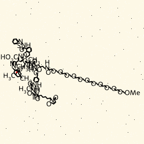 COCCOCCOCCOCCOCCOCCOCCOCCOCCOCCOCCOCC(=O)NCCCC[C@@H](NC(=O)OCc1ccc(NC(=O)[C@H](C)NC(=O)[C@@H](NC(=O)CCCCCN2C(=O)C=CC2=O)C(C)C)cc1)C(=O)N[C@H](C)C(=O)NCCOC12CC3(C)CC(C)(CC(Cn4ncc(-c5ccc(N6CCc7cccc(C(=O)Nc8nc9ccccc9s8)c7C6)nc5C(=O)O)c4C)(C3)C1)C2